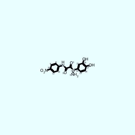 NN(C(=O)C(=O)Nc1ccc([N+](=O)[O-])cc1)c1ccc(O)c(O)c1